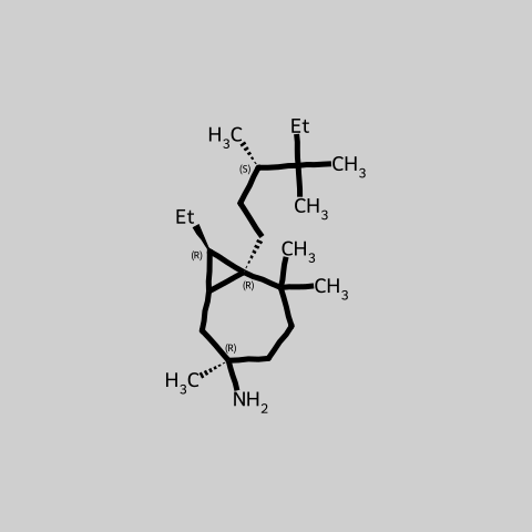 CC[C@@H]1C2C[C@](C)(N)CCC(C)(C)[C@@]21CC[C@H](C)C(C)(C)CC